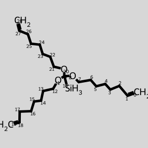 C=CCCCCCCOC([SiH3])(OCCCCCCC=C)OCCCCCCC=C